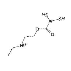 CCNCCOC(=O)N(S)S